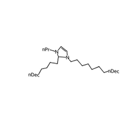 CCCCCCCCCCCCCCCCCN1C=CN(CCC)C1CCCCCCCCCCCCCC